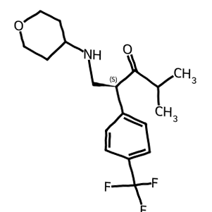 CC(C)C(=O)[C@H](CNC1CCOCC1)c1ccc(C(F)(F)F)cc1